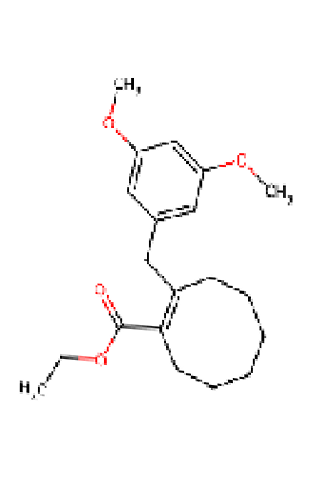 CCOC(=O)C1=C(Cc2cc(OC)cc(OC)c2)CCCCCC1